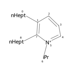 CCCCCCCc1ccc[n+](C(C)C)c1CCCCCCC